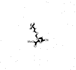 COC(=O)c1nc(C#N)cn1COCC[Si](C)(C)C